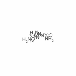 Nc1nc(N2CCC3(CC2)Cc2ccccc2[C@H]3N)cnc1Sc1ccnc(N)c1C1CC1